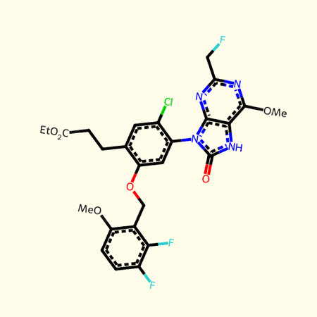 CCOC(=O)CCc1cc(Cl)c(-n2c(=O)[nH]c3c(OC)nc(CF)nc32)cc1OCc1c(OC)ccc(F)c1F